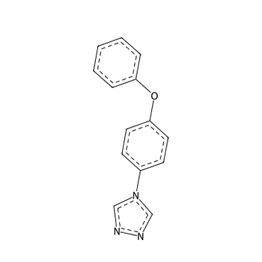 c1ccc(Oc2ccc(-n3cnnc3)cc2)cc1